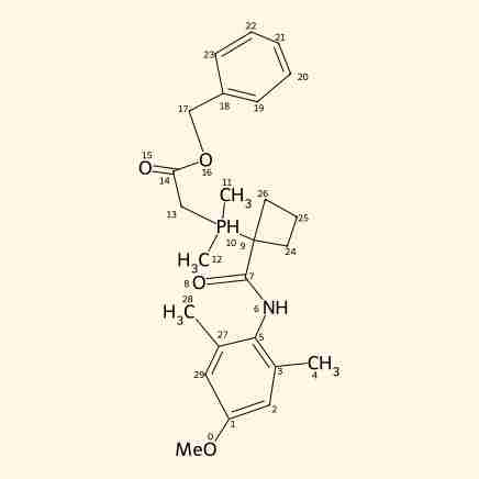 COc1cc(C)c(NC(=O)C2([PH](C)(C)CC(=O)OCc3ccccc3)CCC2)c(C)c1